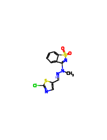 CN(/N=C/c1cnc(Cl)s1)C1=NS(=O)(=O)c2ccccc21